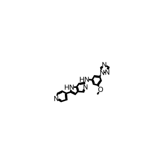 COc1cc(Nc2cc3[nH]c(-c4ccncc4)cc3cn2)cc(-n2cncn2)c1